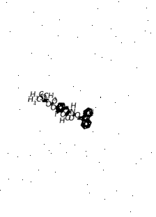 C[Si](C)(C)CCOC(=O)Oc1ccc(C[C@@H](NC(=O)OCC2c3ccccc3-c3ccccc32)C(=O)O)cc1I